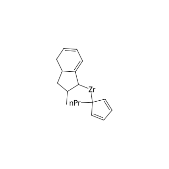 CCC[C]1([Zr][CH]2C3=CC=CCC3CC2C)C=CC=C1